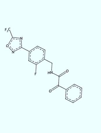 O=C(NCc1ccc(-c2noc(C(F)(F)F)n2)cc1F)C(=O)c1ccccc1